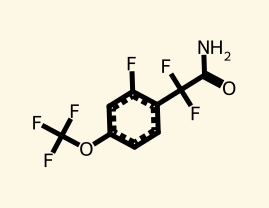 NC(=O)C(F)(F)c1ccc(OC(F)(F)F)cc1F